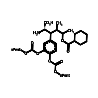 CCCCCOC(=O)Oc1ccc(C(C(C)C(C)OC(=O)C2CCCCC2)[C@H](N)C(=O)O)cc1OC(=O)OCCCCC